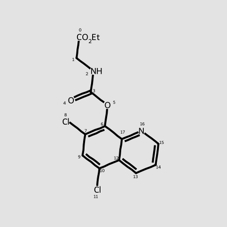 CCOC(=O)CNC(=O)Oc1c(Cl)cc(Cl)c2cccnc12